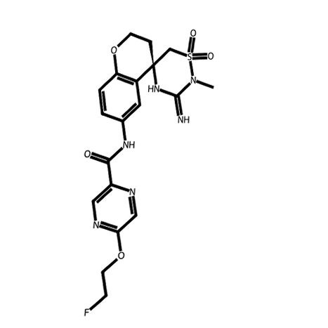 CN1C(=N)N[C@@]2(CCOc3ccc(NC(=O)c4cnc(OCCF)cn4)cc32)CS1(=O)=O